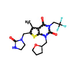 Cc1c(CN2CCNC2=O)sc2c1c(=O)n(CC(F)(F)F)c(=O)n2CC1CCCO1